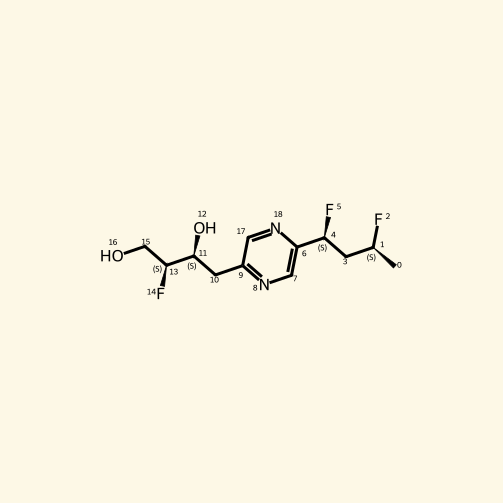 C[C@H](F)C[C@H](F)c1cnc(C[C@H](O)[C@@H](F)CO)cn1